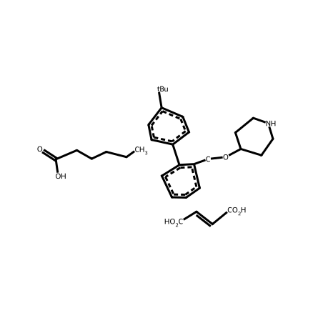 CC(C)(C)c1ccc(-c2ccccc2COC2CCNCC2)cc1.CCCCCC(=O)O.O=C(O)C=CC(=O)O